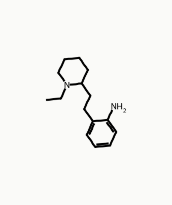 CCN1CCCCC1CCc1ccccc1N